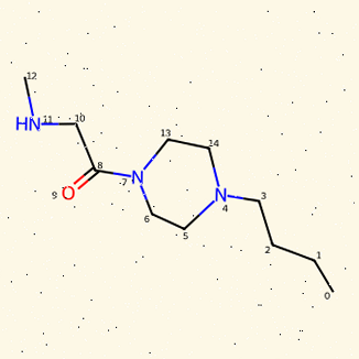 CCCCN1CCN(C(=O)CNC)CC1